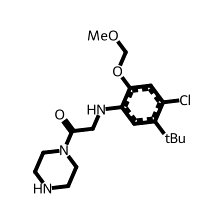 COCOc1cc(Cl)c(C(C)(C)C)cc1NCC(=O)N1CCNCC1